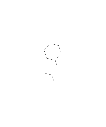 CC(C)OC1CCCCO1